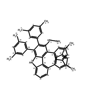 Cc1cc(C)cc(-c2c(NN)c(-c3cc(C)cc(C)c3)c3c([nH]c4cccc(-c5cc(C)cc(C)c5)c43)c2-c2cc(C)cc(C)c2)c1